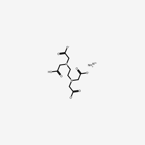 N.O=C([O-])CN(CCN(CC(=O)[O-])CC(=O)O)CC(=O)[O-].[Al+3]